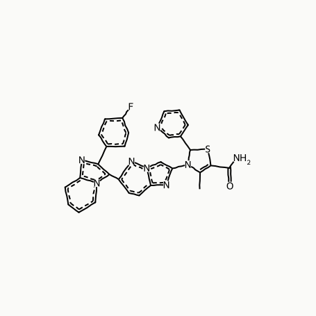 CC1=C(C(N)=O)SC(c2cccnc2)N1c1cn2nc(-c3c(-c4ccc(F)cc4)nc4ccccn34)ccc2n1